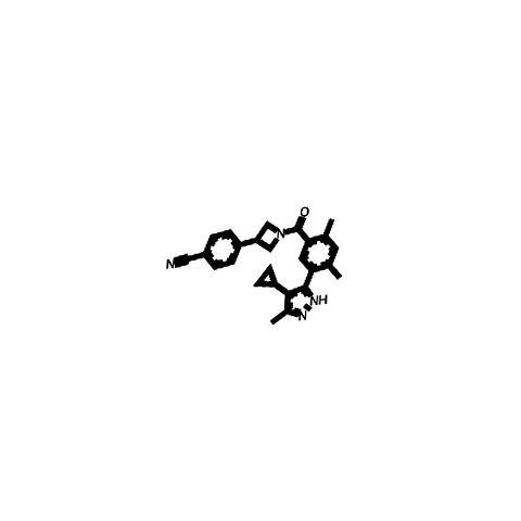 Cc1cc(C)c(-c2[nH]nc(C)c2C2CC2)cc1C(=O)N1CC(c2ccc(C#N)cc2)C1